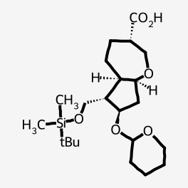 CC(C)(C)[Si](C)(C)OC[C@@H]1[C@H]2CC[C@H](C(=O)O)CO[C@H]2C[C@H]1OC1CCCCO1